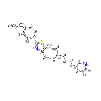 O=C(O)c1ccc(-c2nc3ccc(CCCCc4cccnc4)cc3s2)cc1